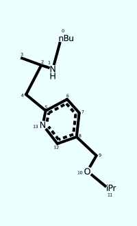 CCCCNC(C)Cc1ccc(COC(C)C)cn1